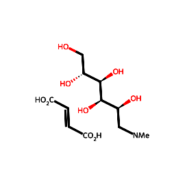 CNC[C@H](O)[C@@H](O)[C@H](O)[C@H](O)CO.O=C(O)/C=C/C(=O)O